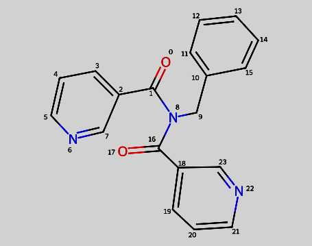 O=C(c1cccnc1)N(Cc1ccccc1)C(=O)c1cccnc1